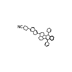 N#CC1CCC(C2=CC3CCC(C4CCC5C6C(=C(C7C=CC=CC7)c7ccccc7C6C6C=CCCC6)C6CCCC4C65)=CC3C=C2)CC1